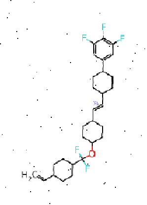 C=CC1CCC(C(F)(F)OC2CCC(/C=C/C3CCC(c4cc(F)c(F)c(F)c4)CC3)CC2)CC1